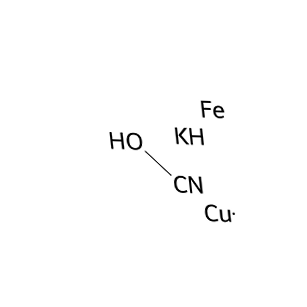 N#CO.[Cu].[Fe].[KH]